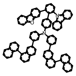 c1cc(-c2ccc3cccc(-c4cccc5ccccc45)c3c2)cc(N(c2ccc(-c3c(-c4ccc5c(c4)oc4ccccc45)cccc3-n3c4ccccc4c4ccccc43)cc2)c2cccc(-c3ccc4cccc(-c5cccc6ccccc56)c4c3)c2)c1